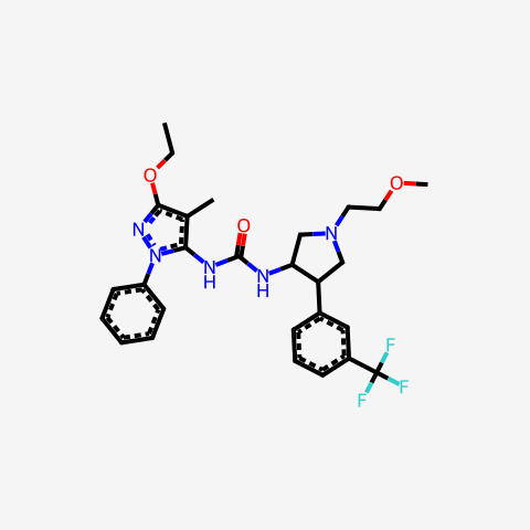 CCOc1nn(-c2ccccc2)c(NC(=O)NC2CN(CCOC)CC2c2cccc(C(F)(F)F)c2)c1C